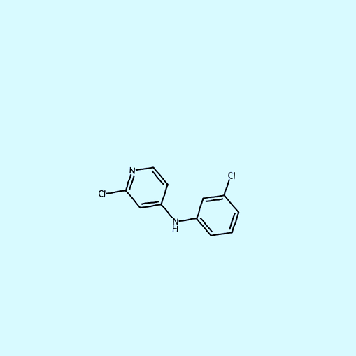 Clc1cccc(Nc2ccnc(Cl)c2)c1